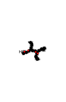 Cc1ccc2sc3ccc(-c4ccc5c(c4)c4cc(-c6ccc7c(c6)c6cc(-c8ccc9sc%10ccc(C)cc%10c9c8)ccc6n7-c6ccc(-c7ccc8c(c7)[Si](C)(C)c7ccccc7-8)cc6)ccc4n5-c4ccc(-c5ccc6c(c5)[SiH](C)c5ccccc5-6)cc4)cc3c2c1